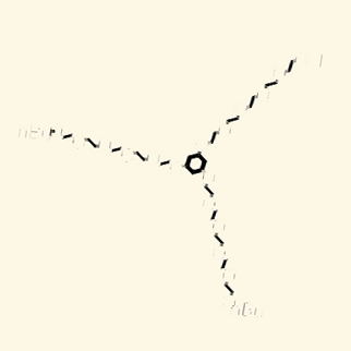 CCCCOCCOCCOCCOCCOCCOc1cc(OCCOCCOCCOCCOCCO)cc(OCCOCCOCCOCCOCCOCCCC)c1